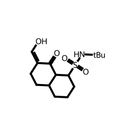 CC(C)(C)NS(=O)(=O)C1CCCC2CCC(=CO)C(=O)C21